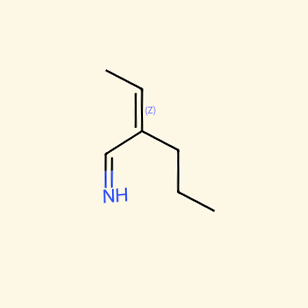 C/C=C(\C=N)CCC